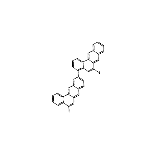 Cc1cc2cc3ccc(-c4cccc5c4cc(I)c4cc6ccccc6cc45)cc3cc2c2ccccc12